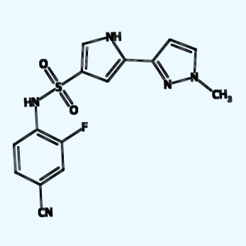 Cn1ccc(-c2cc(S(=O)(=O)Nc3ccc(C#N)cc3F)c[nH]2)n1